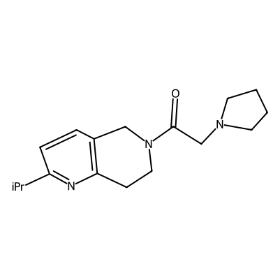 CC(C)c1ccc2c(n1)CCN(C(=O)CN1CCCC1)C2